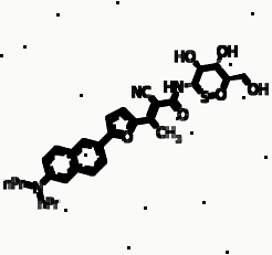 CCCN(CCC)c1ccc2cc(-c3ccc(/C(C)=C(\C#N)C(=O)N[C@H]4SO[C@H](CO)[C@@H](O)[C@@H]4O)o3)ccc2c1